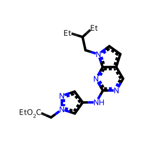 CCOC(=O)Cn1cc(Nc2ncc3ccn(CC(CC)CC)c3n2)cn1